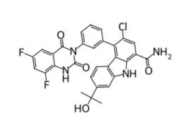 CC(C)(O)c1ccc2c(c1)[nH]c1c(C(N)=O)cc(Cl)c(-c3cccc(-n4c(=O)[nH]c5c(F)cc(F)cc5c4=O)c3)c12